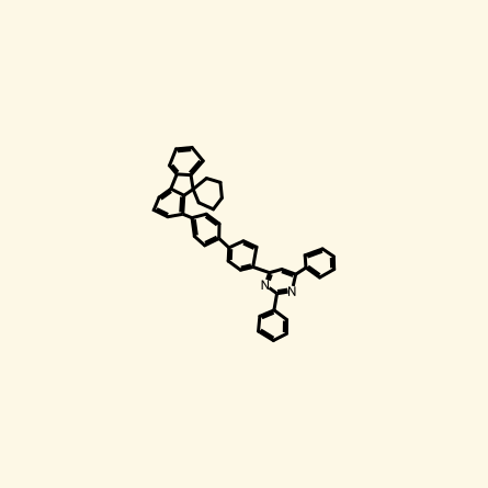 c1ccc(-c2cc(-c3ccc(-c4ccc(-c5cccc6c5C5(CCCCC5)c5ccccc5-6)cc4)cc3)nc(-c3ccccc3)n2)cc1